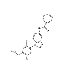 CC(=O)OCc1cc(F)c(-n2ccc3cc(NC(=O)c4ccccc4)ccc32)cc1Br